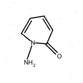 Nn1ccccc1=O